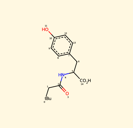 CC(C)(C)CC(=O)NC(Cc1ccc(O)cc1)C(=O)O